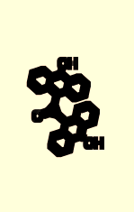 O=c1c(-c2c3ccccc3c(O)c3ccccc23)c1-c1c2ccccc2c(O)c2ccccc12